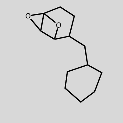 C1CCC(CC2CCC34OC2C3O4)CC1